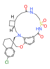 O=C1CC[C@@H]2CC[C@H]2CN2C[C@@]3(CCCc4cc(Cl)ccc43)COc3ccc(cc32)C(=O)NS(=O)(=O)CCN1